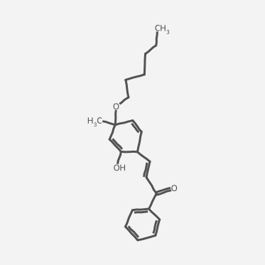 CCCCCCOC1(C)C=CC(/C=C/C(=O)c2ccccc2)C(O)=C1